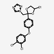 CCC1COC(Cn2cncn2)(c2ccc(Oc3ccc(Cl)c(Cl)c3)cc2)O1